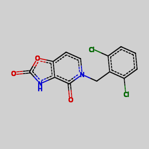 O=c1[nH]c2c(=O)n(Cc3c(Cl)cccc3Cl)ccc2o1